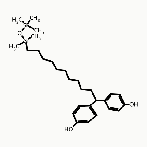 C[Si](C)(C)O[Si](C)(C)CCCCCCCCCCC(c1ccc(O)cc1)c1ccc(O)cc1